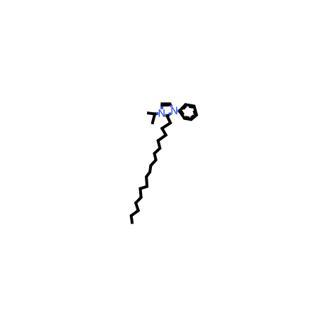 CCCCCCCCCCCCCCCCCC1N(c2ccccc2)C=CN1C(C)C